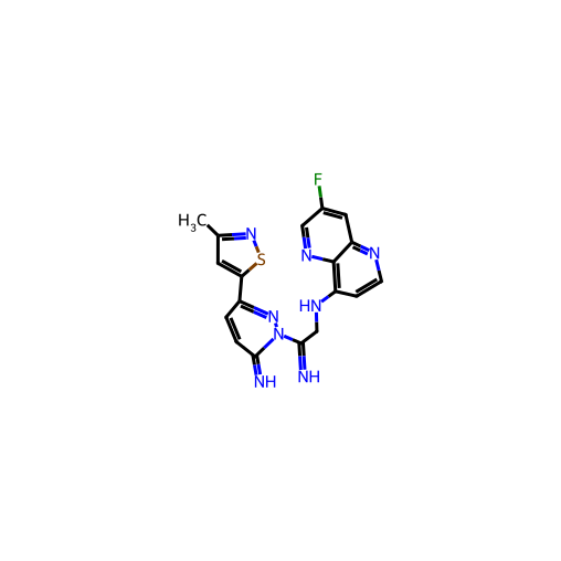 Cc1cc(-c2ccc(=N)n(C(=N)CNc3ccnc4cc(F)cnc34)n2)sn1